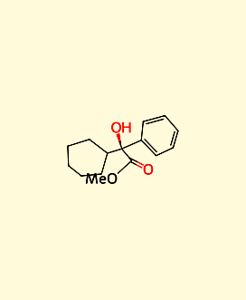 COC(=O)[C@@](O)(c1ccccc1)C1CCCCC1